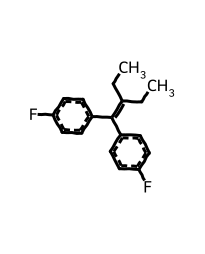 CCC(CC)=C(c1ccc(F)cc1)c1ccc(F)cc1